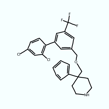 FC(F)(F)c1cc(COCC2(c3ccccc3)CCNCC2)cc(-c2ccc(Cl)cc2Cl)c1